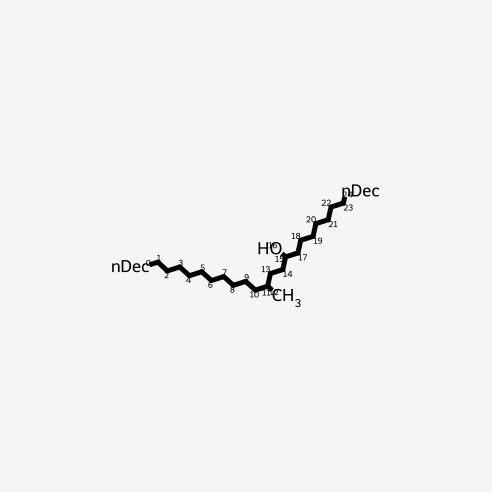 CCCCCCCCCCCCCCCCCCCCC(C)CCC(O)CCCCCCCCCCCCCCCCC